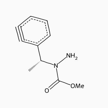 COC(=O)N(N)[C@H](C)c1c#cccc1